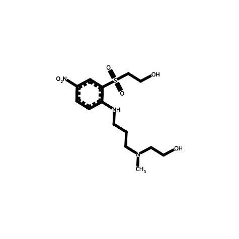 CN(CCO)CCCNc1ccc([N+](=O)[O-])cc1S(=O)(=O)CCO